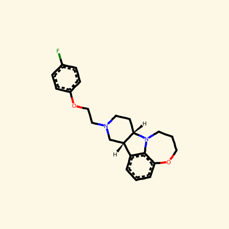 Fc1ccc(OCCN2CC[C@H]3[C@@H](C2)c2cccc4c2N3CCCO4)cc1